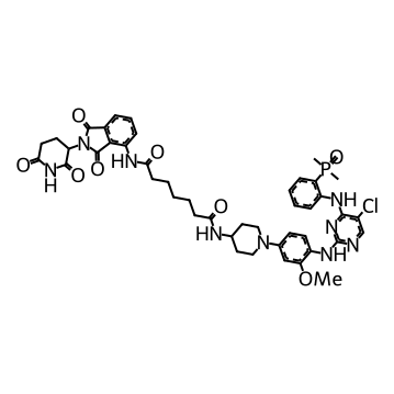 COc1cc(N2CCC(NC(=O)CCCCCC(=O)Nc3cccc4c3C(=O)N(C3CCC(=O)NC3=O)C4=O)CC2)ccc1Nc1ncc(Cl)c(Nc2ccccc2P(C)(C)=O)n1